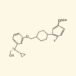 COc1ccc(F)c(C2CCC(COc3cccc([C@@H](CC#N)C4CC4)c3)CC2)c1